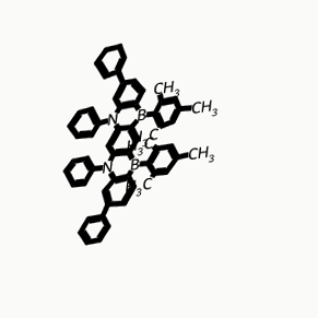 Cc1cc(C)c(B2c3ccc(C4=CCCC=C4)cc3N(c3ccccc3)c3cc4c(cc32)B(c2c(C)cc(C)cc2C)c2ccc(-c3ccccc3)cc2N4c2ccccc2)c(C)c1